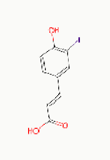 O=C(O)/C=C/c1ccc(O)c(I)c1